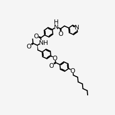 CCCCCCCOc1ccc(C(=O)Oc2ccc(C[C@H](NC(=O)c3ccc(NC(=O)Cc4cccnc4)cc3)C(C)=O)cc2)cc1